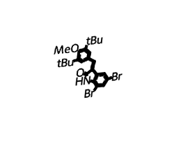 COc1c(C(C)(C)C)cc(C=C2C(=O)Nc3c(Br)cc(Br)cc32)cc1C(C)(C)C